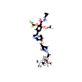 COc1cc(-c2cnc3cc(OCC4CN(CCO[Si](C)(C)C(C)(C)C)C4)ccn23)cc(OC(F)F)c1C(=O)NC1CC1